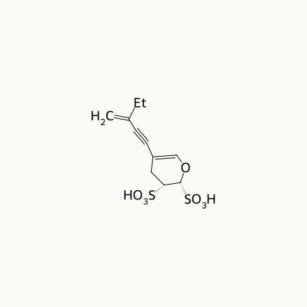 C=C(C#CC1=CO[C@H](S(=O)(=O)O)[C@H](S(=O)(=O)O)C1)CC